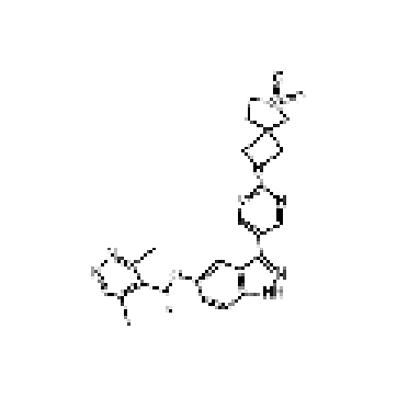 Cc1cnnc(C)c1[C@@H](C)Oc1ccc2[nH]nc(-c3cnc(N4CC5(CCS(=O)(=O)C5)C4)nc3)c2c1